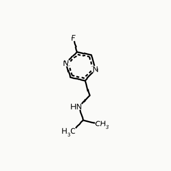 CC(C)NCc1cnc(F)cn1